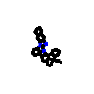 CC1(C)c2ccccc2-c2c1ccc1c3cccc4c3n(c21)c1nc2cc3ccccc3cc2n41